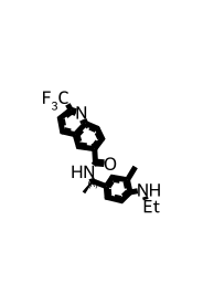 CCNc1ccc([C@@H](C)NC(=O)c2ccc3nc(C(F)(F)F)ccc3c2)cc1C